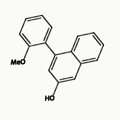 COc1ccccc1-c1cc(O)cc2ccccc12